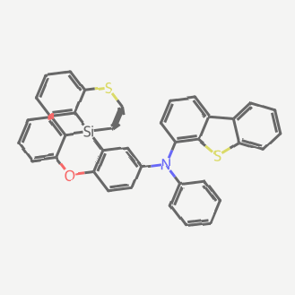 c1ccc(N(c2ccc3c(c2)[Si]2(c4ccccc4O3)c3ccccc3Sc3ccccc32)c2cccc3c2sc2ccccc23)cc1